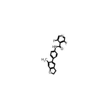 Cc1cc2c(cc1-c1ccc(NC(=O)c3c(F)cncc3F)cc1)CCO2